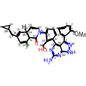 COc1ccccc1-c1n[nH]c2nc(N)nc(-c3cccc(N4C=C[C@H]5C=C(CC6CC6)C=C(F)C5C4=O)c3CO)c12